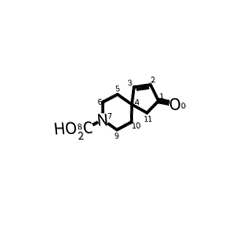 O=C1C=CC2(CCN(C(=O)O)CC2)C1